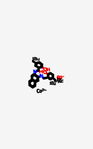 CC(=O)[O-].CC(=O)[O-].CC(C)(C)Cc1ccc(O)c(C=Nc2cc3ccccc3cc2N=Cc2cc(CC(C)(C)C)ccc2O)c1.[Co+2]